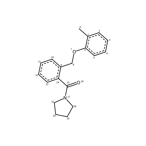 Cc1ccccc1OCc1ccccc1C(=O)N1CCCC1